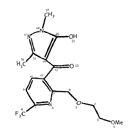 COCCOCc1nc(C(F)(F)F)ccc1C(=O)c1c(C)nn(C)c1O